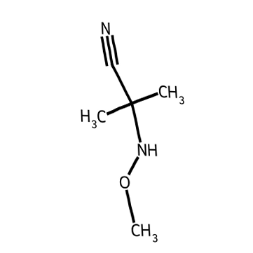 CONC(C)(C)C#N